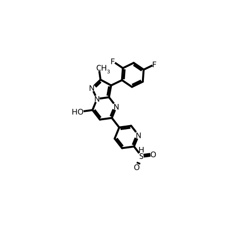 Cc1nn2c(O)cc(-c3ccc([SH](=O)=O)nc3)nc2c1-c1ccc(F)cc1F